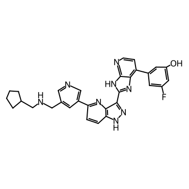 Oc1cc(F)cc(-c2ccnc3[nH]c(-c4n[nH]c5ccc(-c6cncc(CNCC7CCCC7)c6)nc45)nc23)c1